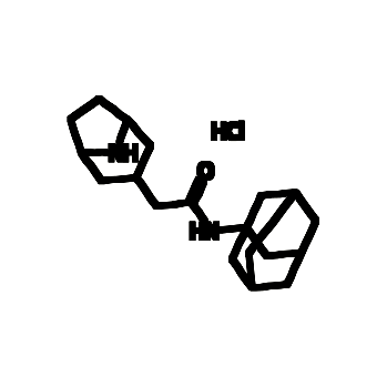 Cl.O=C(CC1CC2CCC(C1)N2)NC12CC3CC(CC(C3)C1)C2